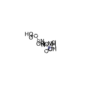 N=C(/C(COc1cnc(C2(O)CC(c3cccc(C(=O)O)c3)C2)cn1)=C(\O)c1ccccc1)c1c(Cl)cccc1Cl